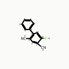 N#Cc1cc(C#N)c(-c2ccccc2)cc1F